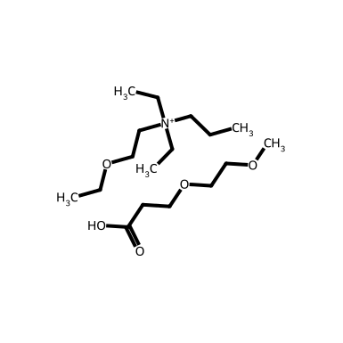 CCC[N+](CC)(CC)CCOCC.COCCOCCC(=O)O